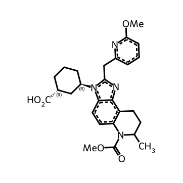 COC(=O)N1c2ccc3c(nc(Cc4cccc(OC)n4)n3[C@@H]3CCC[C@@H](C(=O)O)C3)c2CCC1C